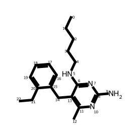 CCCCCNc1nc(N)nc(C)c1Cc1ccccc1CC